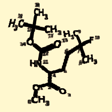 COC(=O)C(CCC(C)(C)F)NC(=O)OC(C)(C)C